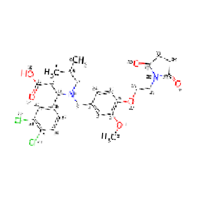 COc1cc(CN(CC(C)C)C(CC(=O)O)c2ccc(Cl)c(Cl)c2)ccc1OCCN1C(=O)CCC1=O